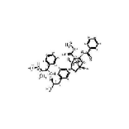 CC(N)Cc1ccccc1.CN[C@@H](C)[C@H](O)c1ccccc1.COC(=O)[C@H]1[C@@H](OC(=O)c2ccccc2)C[C@@H]2CC[C@H]1N2C